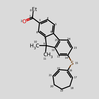 CCC(=O)c1ccc2c(c1)C(C)(C)c1cc(SC3=CCCCC=C3)ccc1-2